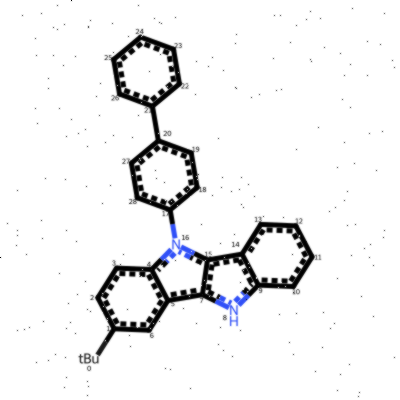 CC(C)(C)c1ccc2c(c1)c1[nH]c3ccccc3c1n2-c1ccc(-c2ccccc2)cc1